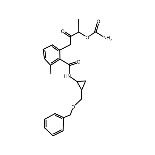 Cc1cccc(CC(=O)C(C)OC(N)=O)c1C(=O)NC1CC1COCc1ccccc1